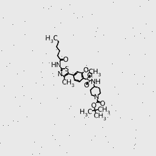 CCCCCC(=O)Nc1nc(C)c(-c2ccc(S(=O)(=O)NC3CCN(C(=O)OC(C)(C)C)CC3)c(OC)c2)s1